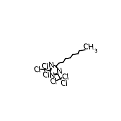 CCCCCCCCCc1nc(C(Cl)(Cl)Cl)nc(C(Cl)(Cl)Cl)n1